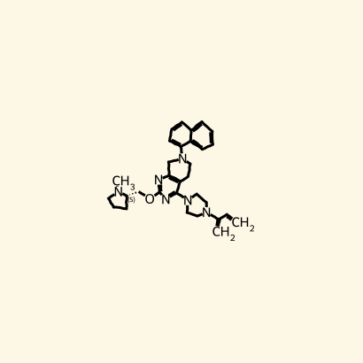 C=CC(=C)N1CCN(c2nc(OC[C@@H]3CCCN3C)nc3c2CCN(c2cccc4ccccc24)C3)CC1